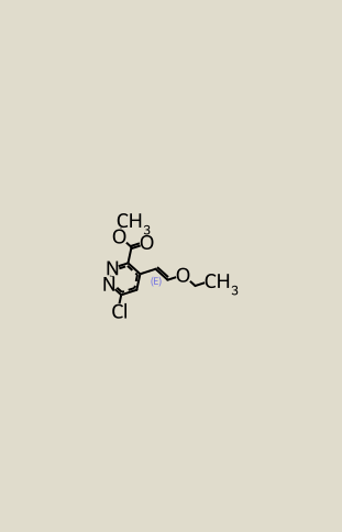 CCO/C=C/c1cc(Cl)nnc1C(=O)OC